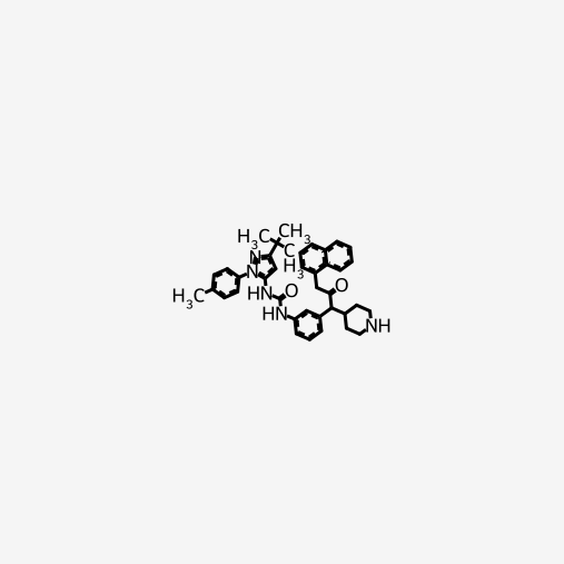 Cc1ccc(-n2nc(C(C)(C)C)cc2NC(=O)Nc2cccc(C(C(=O)Cc3cccc4ccccc34)C3CCNCC3)c2)cc1